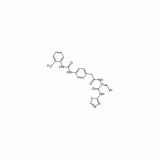 Cc1ccccc1NC(=O)Nc1ccc(CC(=O)N[C@@H](CC(C)C)C(=O)Nc2nn[c]s2)cc1